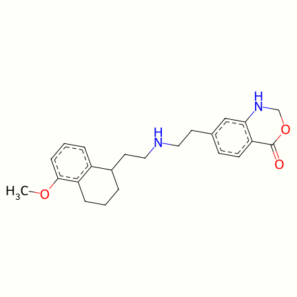 COc1cccc2c1CCCC2CCNCCc1ccc2c(c1)NCOC2=O